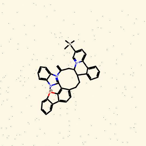 C=C1CC2C(CCc3ccc4c(oc5ccccc54)c3-c3n(C(C)C)c4ccccc4[n+]31)c1ccccc1-c1ccc([Si](C)(C)C)c[n+]12